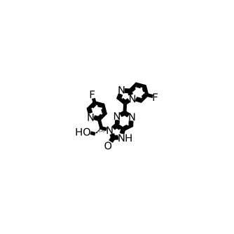 O=c1[nH]c2cnc(-c3cnc4ccc(F)cn34)nc2n1[C@H](CO)c1ccc(F)cn1